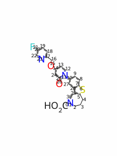 O=C(O)N1CCCc2sc3ccc(-n4ccc(OCc5ccc(F)cn5)cc4=O)cc3c2C1